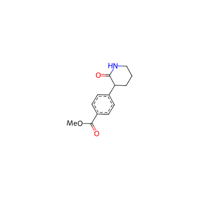 COC(=O)c1ccc(C2CCCNC2=O)cc1